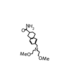 COCCN(CCOC)Cc1ccc2c(c1)CCC(C(N)=O)C2